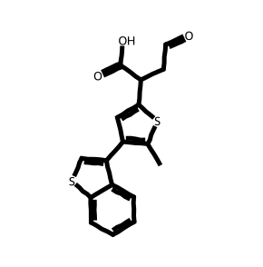 Cc1sc(C(CC=O)C(=O)O)cc1-c1csc2ccccc12